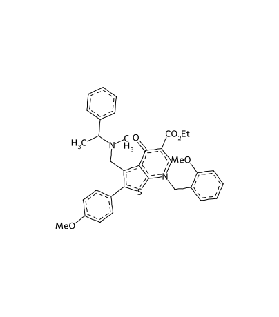 CCOC(=O)c1cn(Cc2ccccc2OC)c2sc(-c3ccc(OC)cc3)c(CN(C)C(C)c3ccccc3)c2c1=O